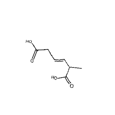 CC(C=CCC(=O)O)C(=O)O